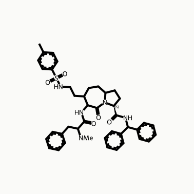 CNC(Cc1ccccc1)C(=O)NC1C(=O)N2C(CCC1CCNS(=O)(=O)c1ccc(C)cc1)CC[C@H]2C(=O)NC(c1ccccc1)c1ccccc1